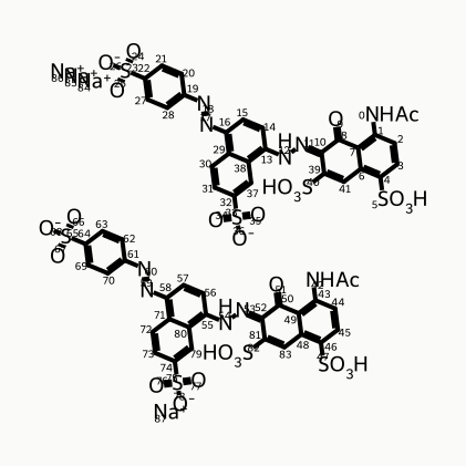 CC(=O)Nc1ccc(S(=O)(=O)O)c2c1C(=O)/C(=N/Nc1ccc(N=Nc3ccc(S(=O)(=O)[O-])cc3)c3ccc(S(=O)(=O)[O-])cc13)C(S(=O)(=O)O)=C2.CC(=O)Nc1ccc(S(=O)(=O)O)c2c1C(=O)/C(=N/Nc1ccc(N=Nc3ccc(S(=O)(=O)[O-])cc3)c3ccc(S(=O)(=O)[O-])cc13)C(S(=O)(=O)O)=C2.[Na+].[Na+].[Na+].[Na+]